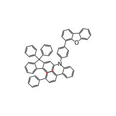 c1ccc(-c2ccc(-c3ccccc3N(c3ccc(-c4cccc5c4oc4ccccc45)cc3)c3ccc4c(c3)C(c3ccccc3)(c3ccccc3)c3ccccc3-4)cc2)cc1